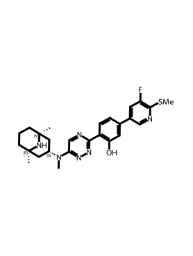 CSc1ncc(-c2ccc(-c3ncc(N(C)[C@H]4C[C@]5(C)CCC[C@](C)(C4)N5)nn3)c(O)c2)cc1F